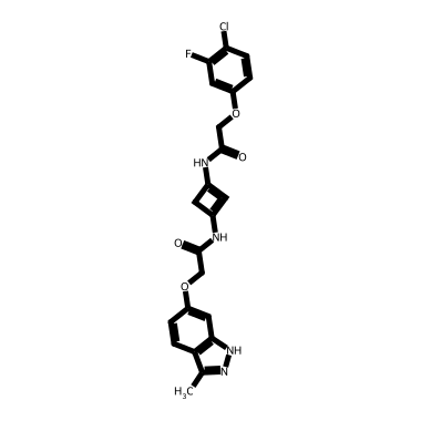 Cc1n[nH]c2cc(OCC(=O)NC3=C=C(NC(=O)COc4ccc(Cl)c(F)c4)C3)ccc12